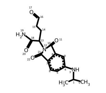 CC(C)Nc1ccc2c(c1)C(=O)N(C(CCC=O)C(N)=O)C2=O